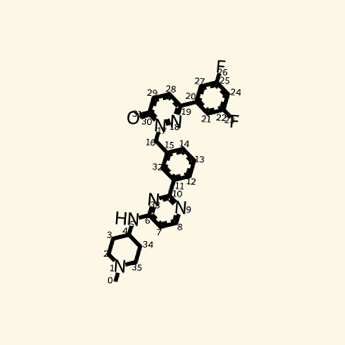 CN1CCC(Nc2ccnc(-c3cccc(Cn4nc(-c5cc(F)cc(F)c5)ccc4=O)c3)n2)CC1